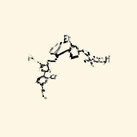 CCc1cc(OC(C)(C)C(=O)O)ccc1C(=O)CCc1nc(-c2ccc(Cl)cc2Cl)sc1C(C)C